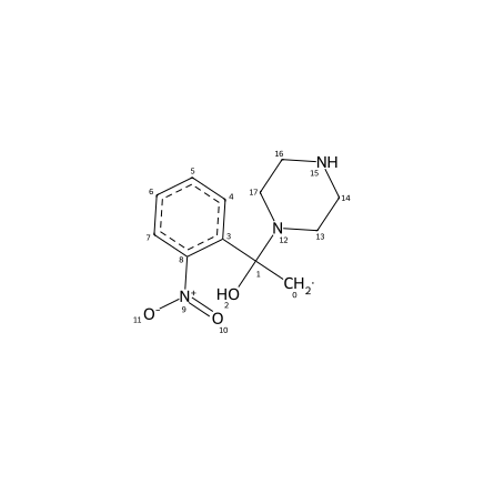 [CH2]C(O)(c1ccccc1[N+](=O)[O-])N1CCNCC1